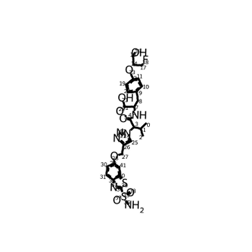 CC(C)C(C(=O)NC(Cc1ccc(OC(CO)CF)cc1)C(=O)O)n1cc(COc2ccc3nc(S(N)(=O)=O)sc3c2)nn1